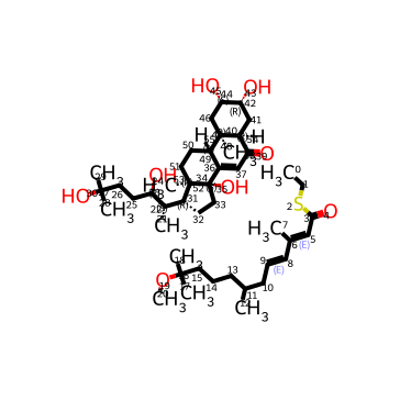 CCSC(=O)/C=C(C)/C=C/CC(C)CCCC(C)(C)OC.C[C@H]([C@H](O)CCC(C)(C)O)[C@H]1CC[C@@]2(O)C3=CC(=O)[C@@H]4C[C@@H](O)[C@@H](O)C[C@]4(C)[C@H]3CC[C@]12C